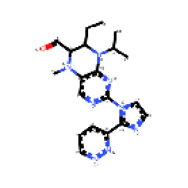 CCC1C(C=O)N(C)c2cnc(-n3ccnc3-c3cccnn3)nc2N1C(C)C